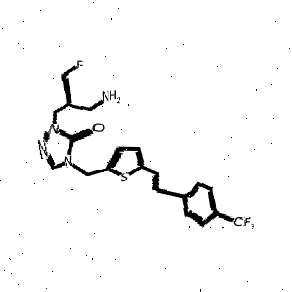 NC/C(=C\F)Cn1ncn(Cc2ccc(/C=C/c3ccc(C(F)(F)F)cc3)s2)c1=O